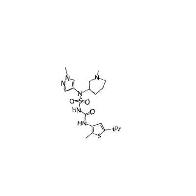 Cc1sc(C(C)C)cc1NC(=O)NS(=O)(=O)N(c1cnn(C)c1)C1CCCN(C)C1